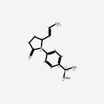 C/C=C/C1CCC(=O)N1c1ccc([C@@H](O)CCCCCC)cc1